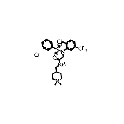 C[N+]1(C)CCC(CNC(=O)CN(c2cc(C(F)(F)F)ccc2Cl)S(=O)(=O)c2ccccc2)CC1.[Cl-]